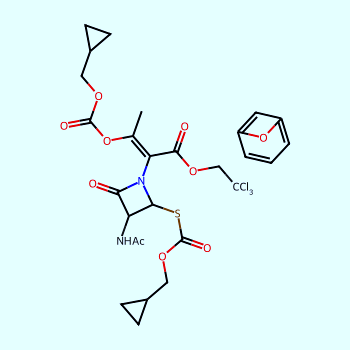 CC(=O)NC1C(=O)N(C(C(=O)OCC(Cl)(Cl)Cl)=C(C)OC(=O)OCC2CC2)C1SC(=O)OCC1CC1.c1cc2cc(c1)O2